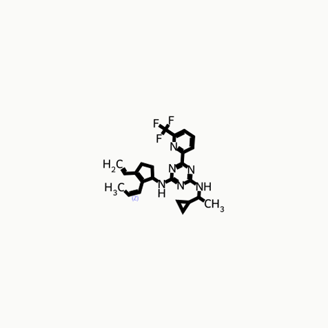 C=CC1=C(/C=C\C)C(Nc2nc(NC(C)C3CC3)nc(-c3cccc(C(F)(F)F)n3)n2)CC1